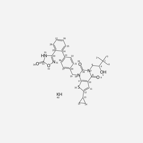 CC(C)(C)C(O)Cn1c(=O)c2cc(C3CC3)sc2n(Cc2ccc(-c3ccccc3-c3noc(=O)[nH]3)cc2)c1=O.[KH]